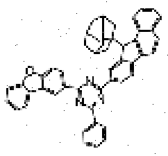 c1ccc(-c2nc(-c3ccc4c(c3)C(C35CC6CC(CC(C6)C3)C5)c3c-4ccc4ccccc34)nc(-c3ccc4oc5ccccc5c4c3)n2)cc1